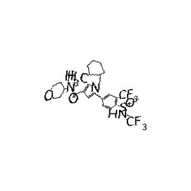 Cc1c(C(=O)NC2CCOCC2)cc(-c2ccc([S+]([O-])NCC(F)(F)F)c(C(F)(F)F)c2)n1CC1CCCCC1